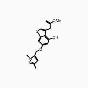 C=C(Cc1csc2cc(OCc3cc(C)nn3C)cc(O)c12)OC